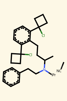 CC#N.CC(C)N(CCc1ccccc1)C(C)CCc1c(C2(Cl)CCC2)cccc1C1(Cl)CCC1